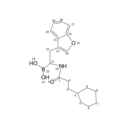 O=C(CCC1CCCCC1)NC(Cc1coc2ccccc12)B(O)O